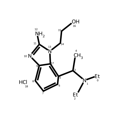 CCN(CC)C(C)c1cccc2nc(N)n(CCO)c12.Cl